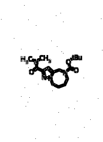 CN(C)C(=O)c1cc2n(n1)CCCCN(C(=O)OC(C)(C)C)C2